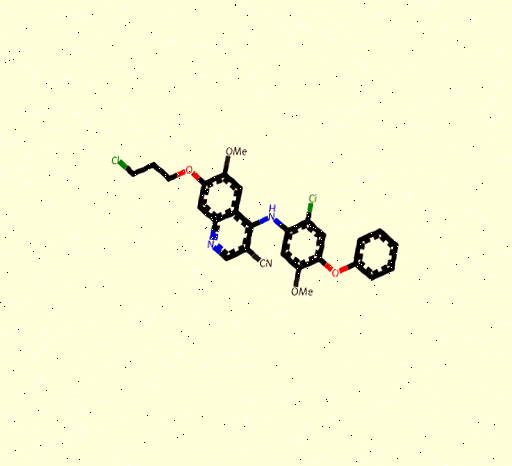 COc1cc2c(Nc3cc(OC)c(Oc4ccccc4)cc3Cl)c(C#N)cnc2cc1OCCCCl